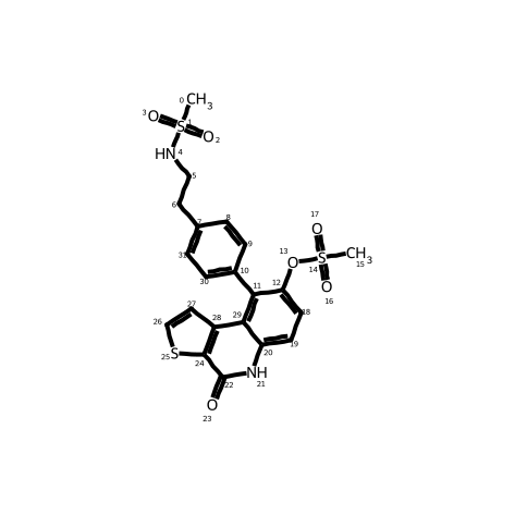 CS(=O)(=O)NCCc1ccc(-c2c(OS(C)(=O)=O)ccc3[nH]c(=O)c4sccc4c23)cc1